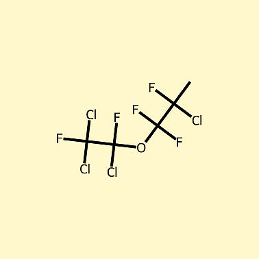 CC(F)(Cl)C(F)(F)OC(F)(Cl)C(F)(Cl)Cl